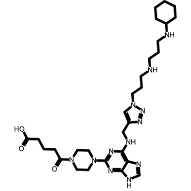 O=C(O)CCCC(=O)N1CCN(c2nc(NCc3cn(CCCNCCCNC4CCCCC4)nn3)c3nc[nH]c3n2)CC1